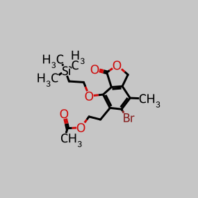 CC(=O)OCCc1c(Br)c(C)c2c(c1OCC[Si](C)(C)C)C(=O)OC2